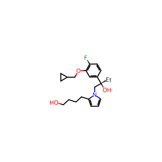 CC[C@@](O)(Cn1cccc1CCCCO)c1ccc(F)c(OCC2CC2)c1